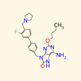 CCCCOc1nc(N)c2[nH]c(=O)n(Cc3ccc(-c4ccc(CN5CCCC5)c(F)c4)cc3)c2n1